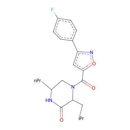 CCCC1CN(C(=O)c2cc(-c3ccc(F)cc3)no2)C(CC(C)C)C(=O)N1